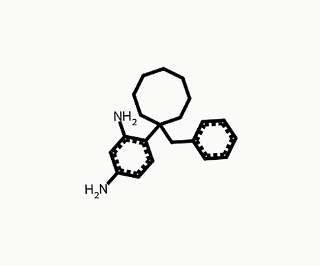 Nc1ccc(C2(Cc3ccccc3)CCCCCCC2)c(N)c1